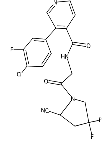 N#CC1CC(F)(F)CN1C(=O)CNC(=O)c1ccncc1-c1ccc(Cl)c(F)c1